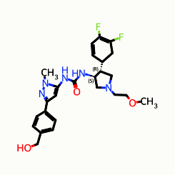 COCCN1C[C@@H](NC(=O)Nc2cc(-c3ccc(CO)cc3)nn2C)[C@H](C2C=CC(F)=C(F)C2)C1